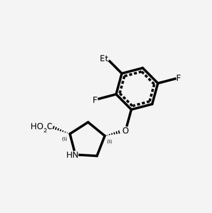 CCc1cc(F)cc(O[C@@H]2CN[C@H](C(=O)O)C2)c1F